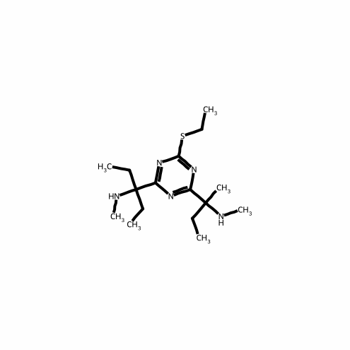 CCSc1nc(C(C)(CC)NC)nc(C(CC)(CC)NC)n1